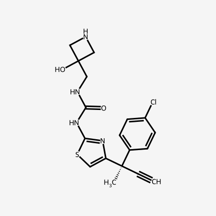 C#C[C@](C)(c1ccc(Cl)cc1)c1csc(NC(=O)NCC2(O)CNC2)n1